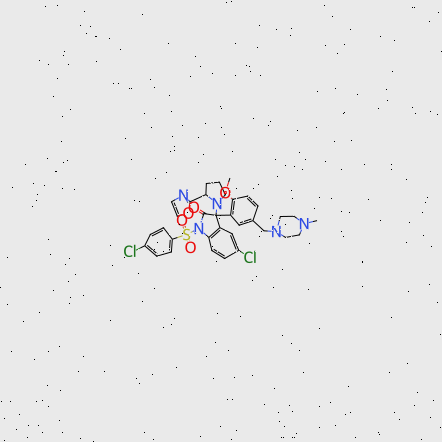 COc1ccc(CN2CCN(C)CC2)cc1C1(N2CCCC2c2ncco2)C(=O)N(S(=O)(=O)c2ccc(Cl)cc2)c2ccc(Cl)cc21